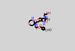 CCc1nn(C[C@@H](C)CO)c2c1C(=O)NCC1(CCOC(CCc3nn(C[C@@H](C)COC(=O)c4ccc(C=O)cc4)c4c3C(=O)NCCCOCCC4)C1)C2